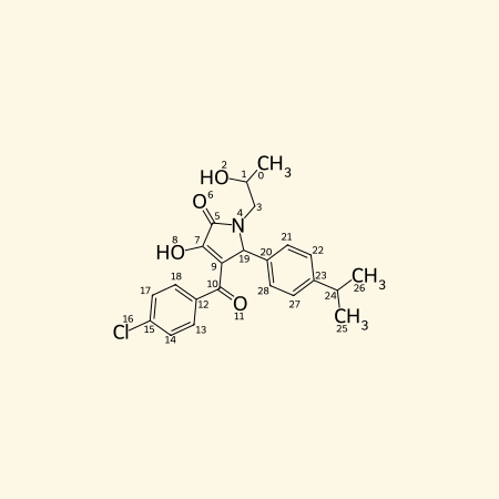 CC(O)CN1C(=O)C(O)=C(C(=O)c2ccc(Cl)cc2)C1c1ccc(C(C)C)cc1